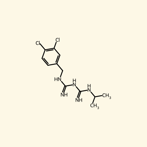 CC(C)NC(=N)NC(=N)NCc1ccc(Cl)c(Cl)c1